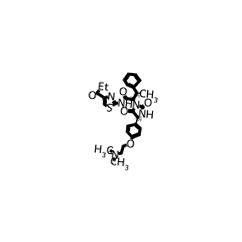 CCC(=O)c1csc(NC(=O)[C@H]([C@@H](C)c2ccccc2)N2C(=O)N[C@@H](c3ccc(OCCN(C)C)cc3)C2=O)n1